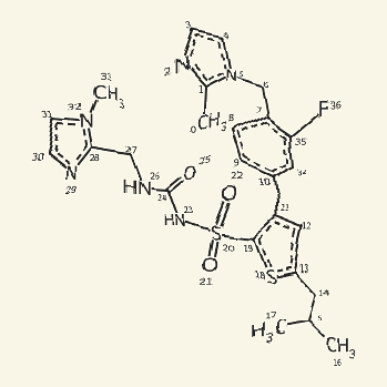 Cc1nccn1Cc1ccc(-c2cc(CC(C)C)sc2S(=O)(=O)NC(=O)NCc2nccn2C)cc1F